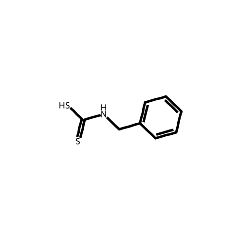 S=C(S)NCc1ccccc1